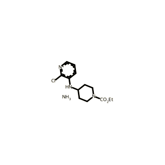 CCOC(=O)N1CCC(Nc2cccnc2Cl)CC1.N